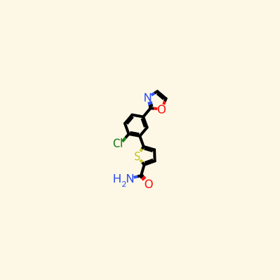 NC(=O)c1ccc(-c2cc(-c3ncco3)ccc2Cl)s1